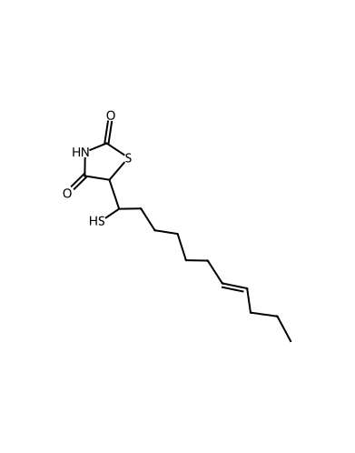 CCC/C=C/CCCCCC(S)C1SC(=O)NC1=O